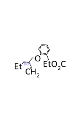 C=C/C(=C\CC)COc1ccccc1CC(=O)OCC